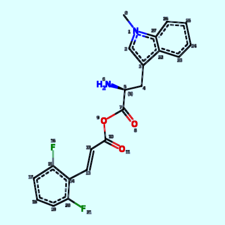 Cn1cc(C[C@H](N)C(=O)OC(=O)C=Cc2c(F)cccc2F)c2ccccc21